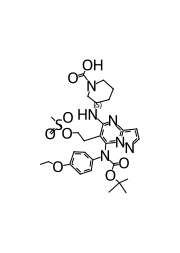 CCOc1ccc(N(C(=O)OC(C)(C)C)c2c(CCOS(C)(=O)=O)c(N[C@H]3CCCN(C(=O)O)C3)nc3ccnn23)cc1